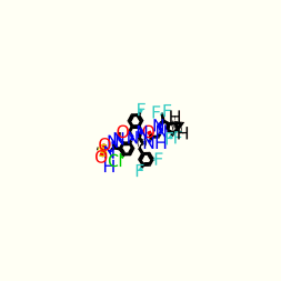 Cn1nc(NS(C)(=O)=O)c2c(Cl)ccc(-n3c([C@H](Cc4cc(F)cc(F)c4)NC(=O)Cn4nc(C(F)F)c5c4C(F)(F)[C@@H]4C[C@H]54)nc4cc(F)ccc4c3=O)c21